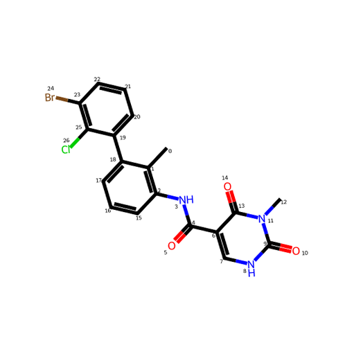 Cc1c(NC(=O)c2c[nH]c(=O)n(C)c2=O)cccc1-c1cccc(Br)c1Cl